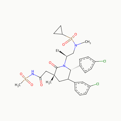 CC[C@@H](CN(C)S(=O)(=O)C1CC1)N1C(=O)[C@@](C)(CC(=O)NS(C)(=O)=O)CC(c2cccc(Cl)c2)[C@H]1c1ccc(Cl)cc1